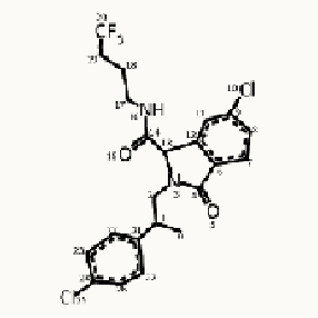 CC(CN1C(=O)c2ccc(Cl)cc2C1C(=O)NCCCC(F)(F)F)c1ccc(Cl)cc1